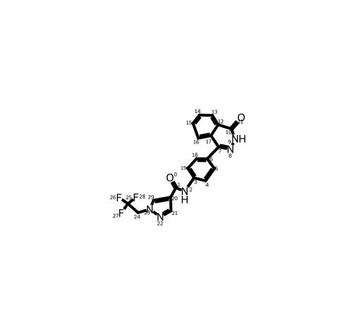 O=C(Nc1ccc(-c2n[nH]c(=O)c3ccccc23)cc1)c1cnn(CC(F)(F)F)c1